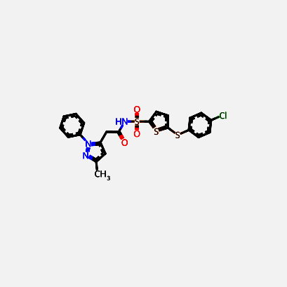 Cc1cc(CC(=O)NS(=O)(=O)c2ccc(Sc3ccc(Cl)cc3)s2)n(-c2ccccc2)n1